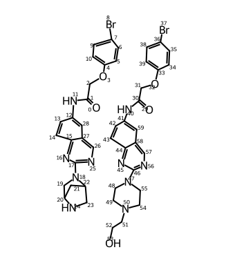 O=C(COc1ccc(Br)cc1)Nc1ccc2nc(N3CC4CC3CN4)ncc2c1.O=C(COc1ccc(Br)cc1)Nc1ccc2nc(N3CCN(CCO)CC3)ncc2c1